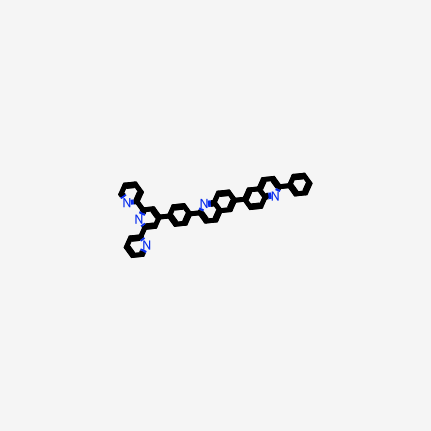 c1ccc(-c2ccc3cc(-c4ccc5nc(-c6ccc(-c7cc(-c8ccccn8)nc(-c8ccccn8)c7)cc6)ccc5c4)ccc3n2)cc1